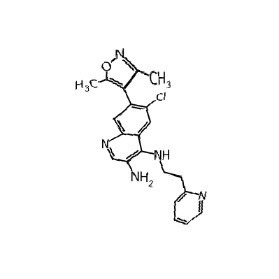 Cc1noc(C)c1-c1cc2ncc(N)c(NCCc3ccccn3)c2cc1Cl